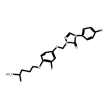 CC(CCCOc1ccc(SCn2ncn(-c3ccc(Br)cc3)c2=O)cc1F)C(=O)O